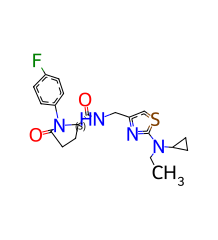 CCN(c1nc(CNC(=O)[C@@H]2CCC(=O)N2c2ccc(F)cc2)cs1)C1CC1